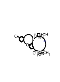 C[C@H]1CC/C=C\[C@@H](O)[C@@H]2CC[C@H]2CN2CCCCc3cc(Cl)ccc3COc3ccc(cc32)C(=O)NS1(=O)=O